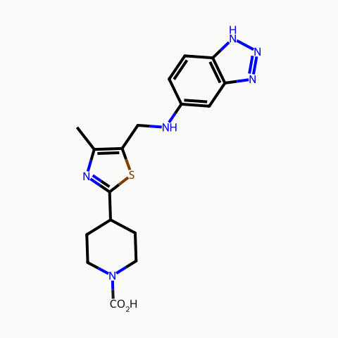 Cc1nc(C2CCN(C(=O)O)CC2)sc1CNc1ccc2[nH]nnc2c1